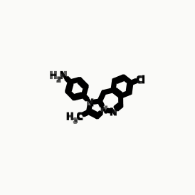 CC1=CN2N=Cc3cc(Cl)ccc3CC2N1c1ccc(N)cc1